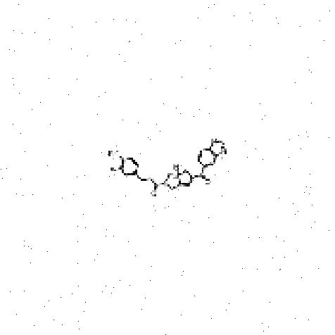 O=C(c1ccc2[nH]nnc2c1)N1C=C2CN(C(=O)CCc3ccc(C(F)(F)F)c(F)c3)C[C@@H]2C1